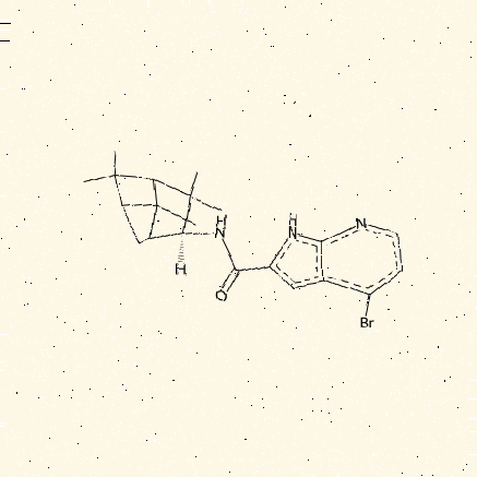 CC1(C)C2C[C@H](NC(=O)c3cc4c(Br)ccnc4[nH]3)C(C)(C)C1C2(C)C